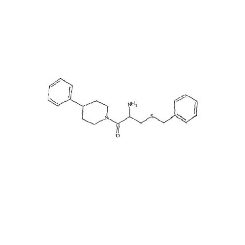 NC(CSCc1ccccc1)C(=O)N1CCC(c2ccccc2)CC1